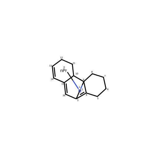 CCCN1CC2=C3CCCCC31C1CCC=CC1=C2